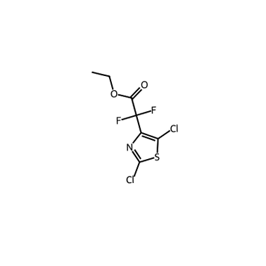 CCOC(=O)C(F)(F)c1nc(Cl)sc1Cl